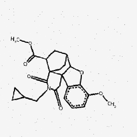 COC(=O)C1CC2CCC13C(=O)N(CC1CC1)C(=O)CC31c3cccc(OC)c3OC21